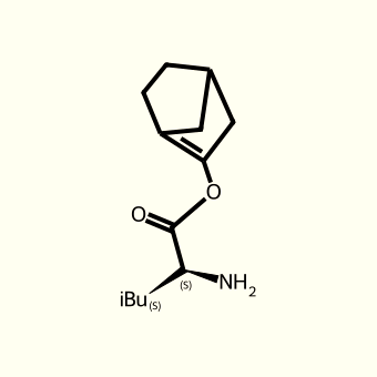 CC[C@H](C)[C@H](N)C(=O)OC1=C2CCC(C2)C1